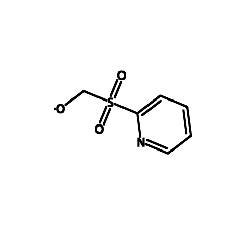 [O]CS(=O)(=O)c1ccccn1